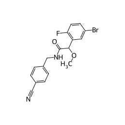 COC(C(=O)NCc1ccc(C#N)cc1)c1cc(Br)ccc1F